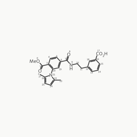 COC(=O)c1ccc(C(=O)NCCc2cccc(C(=O)O)c2)cc1-n1c(C)ccc1C